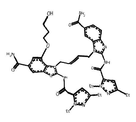 CCc1cc(C(=O)Nc2nc3ccc(C(N)=O)cc3n2C/C=C/Cn2c(NC(=O)c3cc(CC)nn3CC)nc3cc(C(N)=O)cc(OCCCO)c32)n(CC)n1